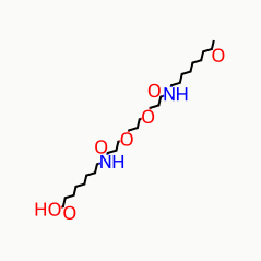 CC(=O)CCCCCCCNC(=O)CCOCCCOCCC(=O)NCCCCCCCC(=O)O